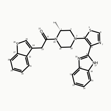 C[C@@H]1CN(c2scnc2-c2nc3ccccc3[nH]2)CCN1C(=O)Cc1csc2ccccc12